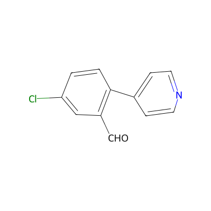 O=Cc1cc(Cl)ccc1-c1ccncc1